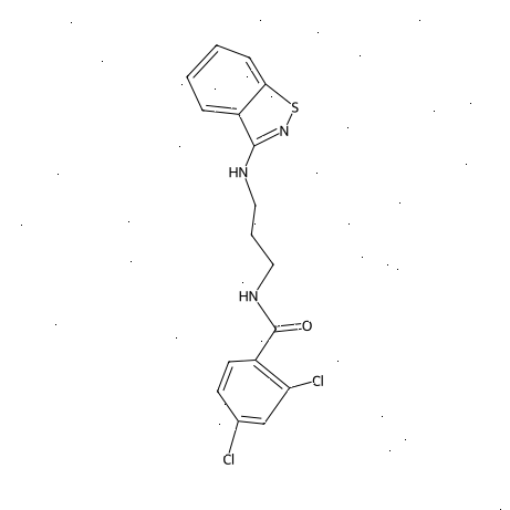 O=C(NCCCNc1nsc2ccccc12)c1ccc(Cl)cc1Cl